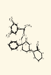 C[C@@H](OC[C@@]1(c2ccccc2)CCC(N2CCCCC2=O)CN1)c1cc(C(F)(F)F)cc(C(F)(F)F)c1